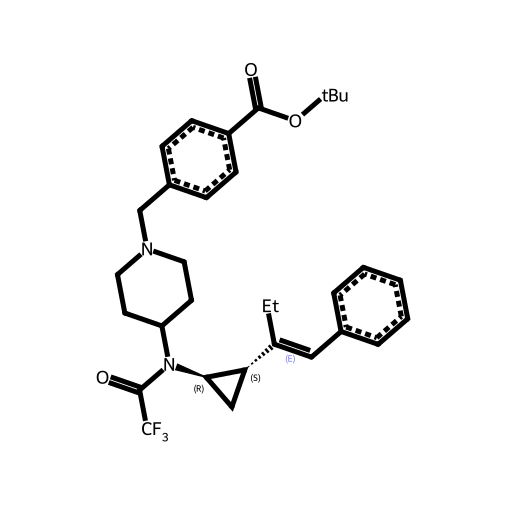 CC/C(=C\c1ccccc1)[C@@H]1C[C@H]1N(C(=O)C(F)(F)F)C1CCN(Cc2ccc(C(=O)OC(C)(C)C)cc2)CC1